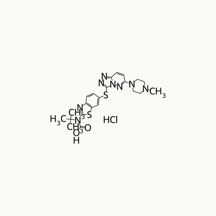 CN1CCN(c2ccc3nnc(Sc4ccc5nc(N(C(=O)O)C(C)(C)C)sc5c4)n3n2)CC1.Cl